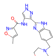 Cc1cc(C(=O)Nc2c[nH]nc2-c2nc3cc(CN4CCOCC4)ccc3[nH]2)no1